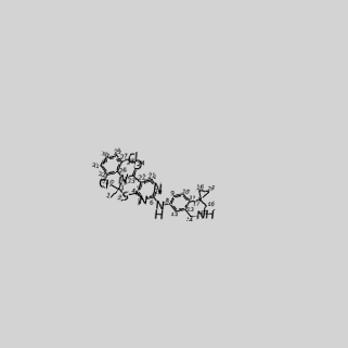 CC1(C)Sc2nc(Nc3ccc4c(c3)CNCC43CC3)ncc2C(=O)N1c1c(Cl)cccc1Cl